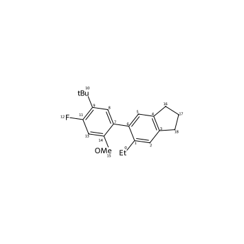 CCc1cc2c(cc1-c1cc(C(C)(C)C)c(F)cc1OC)CCC2